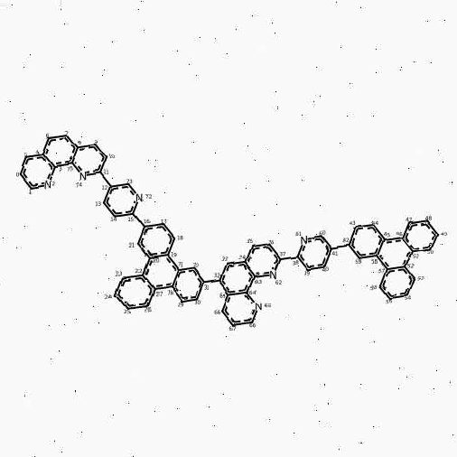 c1cnc2c(c1)ccc1ccc(-c3ccc(-c4ccc5c(c4)c4ccccc4c4ccc(-c6cc7ccc(-c8ccc(-c9ccc%10c%11ccccc%11c%11ccccc%11c%10c9)cn8)nc7c7ncccc67)cc45)nc3)nc12